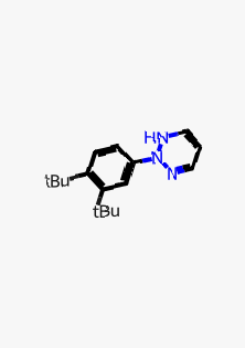 CC(C)(C)c1ccc(N2N=CC=CN2)cc1C(C)(C)C